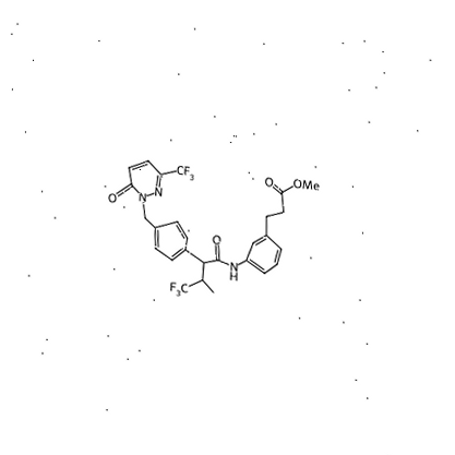 COC(=O)CCc1cccc(NC(=O)C(c2ccc(Cn3nc(C(F)(F)F)ccc3=O)cc2)C(C)C(F)(F)F)c1